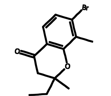 CCC1(C)CC(=O)c2ccc(Br)c(C)c2O1